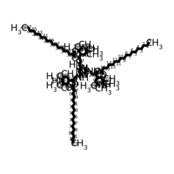 CCCCCCCCCCCCCCCCCC(=O)OC(CNc1nc(NCC(OC(=O)CCCCCCCCCCCCCCCCC)C2CC(C)(C)NC(C)(C)C2)nc(NCC(OC(=O)CCCCCCCCCCCCCCCCC)C2CC(C)(C)NC(C)(C)C2)n1)C1CC(C)(C)NC(C)(C)C1